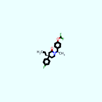 C=CC[C@]1(c2ccc(F)cc2)CCN([C@@H](C)c2ccc(OC(F)F)cc2)C(=O)C1